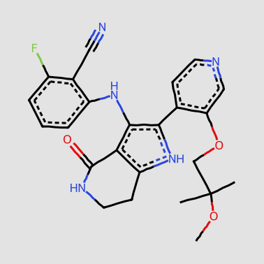 COC(C)(C)COc1cnccc1-c1[nH]c2c(c1Nc1cccc(F)c1C#N)C(=O)NCC2